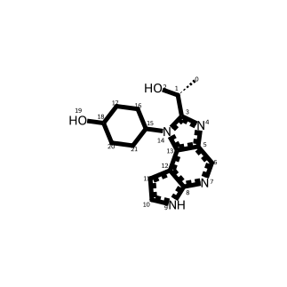 C[C@@H](O)c1nc2cnc3[nH]ccc3c2n1C1CCC(O)CC1